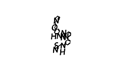 c1cc(NCc2cncs2)cc(-c2cccc3nc(Nc4ccc(OCCN5CCCC5)cc4)nn23)c1